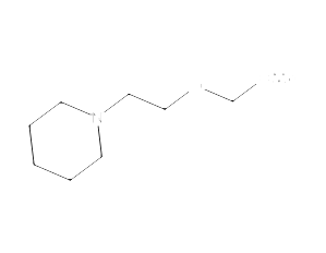 COCOCCN1CCCCC1